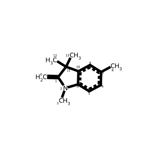 C=C1N(C)c2ccc(C)cc2C1(C)C